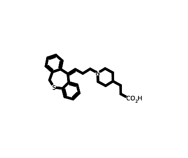 O=C(O)CCC1CCN(CCC=C2c3ccccc3CSc3ccccc32)CC1